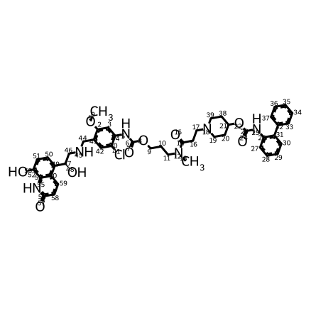 COc1cc(NC(=O)OCCCN(C)C(=O)CCN2CCC(OC(=O)Nc3ccccc3-c3ccccc3)CC2)c(Cl)cc1CNC[C@H](O)c1ccc(O)c2[nH]c(=O)ccc12